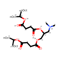 CCCCCCCCC(CCCCCCCC)OC(=O)CCC(=O)OCC(CN(C)C)OC(=O)CCC(=O)OC(CCCCCCCC)CCCCCCCC